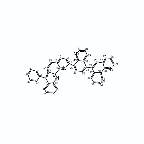 c1ccc(-c2c3ccccc3nc3c2ccc2ccc(-c4ccc(-c5cc6cccnc6c6ncccc56)c5cccnc45)nc23)cc1